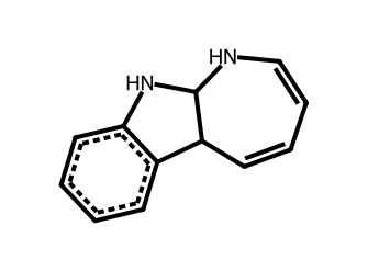 C1=CNC2Nc3ccccc3C2C=C1